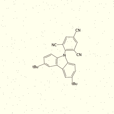 CC(C)(C)c1ccc2c(c1)c1cc(C(C)(C)C)ccc1n2-c1c(C#N)cc(C#N)cc1C#N